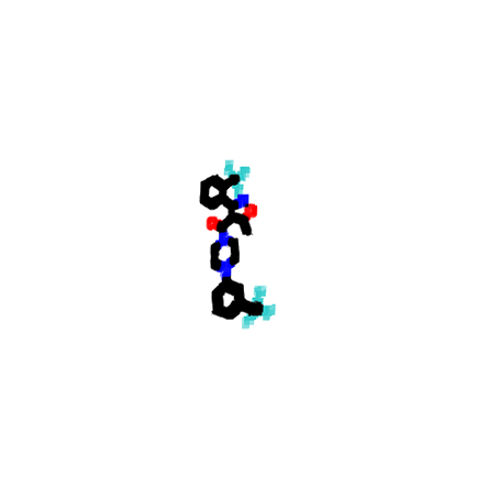 Cc1onc(-c2ccccc2C(F)(F)F)c1C(=O)N1CCN(c2cccc(C(F)(F)F)c2)CC1